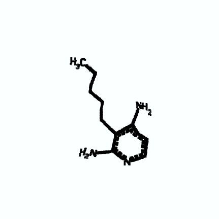 CCCCCc1c(N)ccnc1N